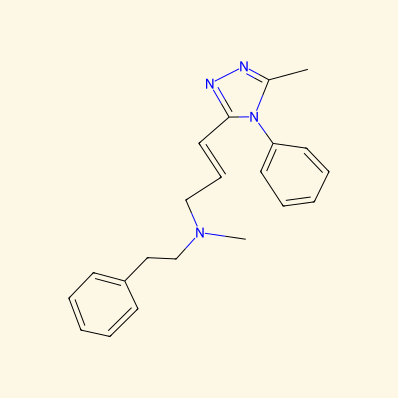 Cc1nnc(C=CCN(C)CCc2ccccc2)n1-c1ccccc1